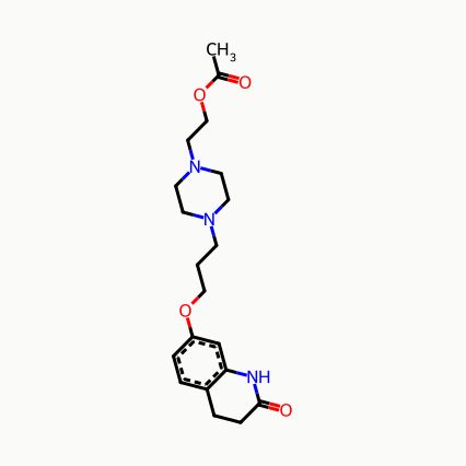 CC(=O)OCCN1CCN(CCCOc2ccc3c(c2)NC(=O)CC3)CC1